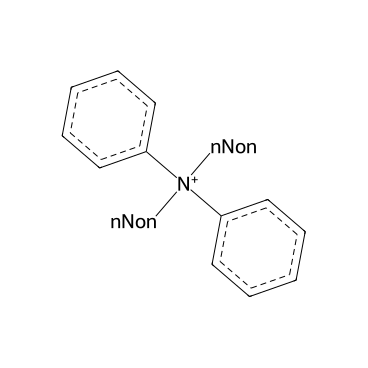 CCCCCCCCC[N+](CCCCCCCCC)(c1ccccc1)c1ccccc1